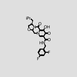 CC(C)C[C@@H]1COC2Cn3cc(C(=O)NCc4ccc(F)cc4F)c(=O)c(O)c3C(=O)N21